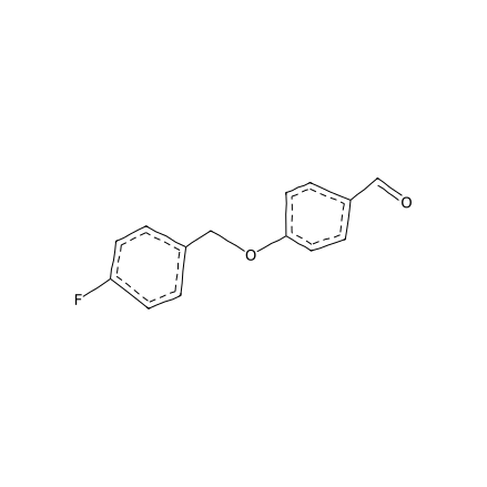 O=Cc1ccc(OCc2ccc(F)cc2)cc1